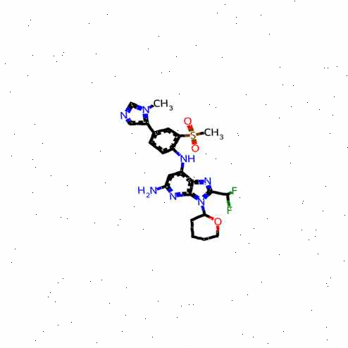 Cn1cncc1-c1ccc(Nc2cc(N)nc3c2nc(C(F)F)n3C2CCCCO2)c(S(C)(=O)=O)c1